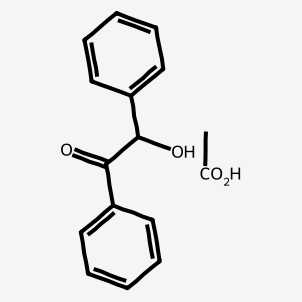 CC(=O)O.O=C(c1ccccc1)C(O)c1ccccc1